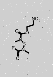 CN(SN(C)C(=O)OCC[N+](=O)[O-])C(=O)F